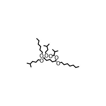 CCCCCCCOC(CCCC(OCCCCCC)(OCCCC(C)C)OCCC(C)C)OC([O])C(C)C